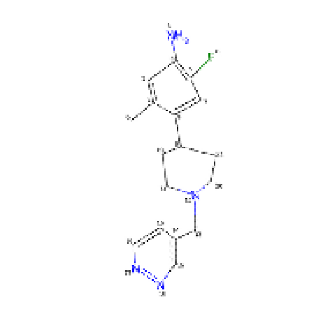 Cc1cc(N)c(F)cc1C1CCN(Cc2ccnnc2)CC1